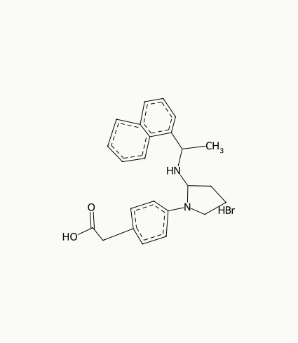 Br.CC(NC1CCCN1c1ccc(CC(=O)O)cc1)c1cccc2ccccc12